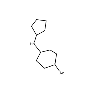 CC(=O)N1CCC(NC2CCCC2)CC1